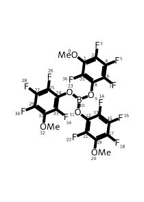 COc1c(F)c(F)c(F)c(OB(Oc2c(F)c(F)c(F)c(OC)c2F)Oc2c(F)c(F)c(F)c(OC)c2F)c1F